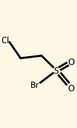 O=S(=O)(Br)CCCl